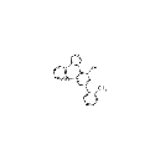 Cc1ccccc1-c1cc(C(C)C)c(-n2cccc2-c2ccccc2)c(C(C)C)c1